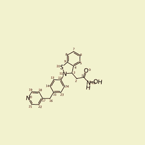 O=C(CC1c2ccccc2SN1c1ccc(Cc2ccncc2)cc1)NO